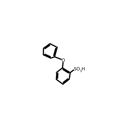 O=S(=O)(O)c1ccc[c]c1Oc1ccccc1